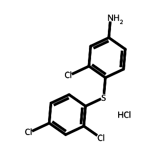 Cl.Nc1ccc(Sc2ccc(Cl)cc2Cl)c(Cl)c1